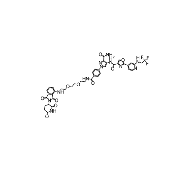 NC(=O)c1nn(-c2ccc(C(=O)NCCOCCOCCNc3cccc4c3C(=O)N(C3CCC(=O)NC3=O)C4=O)cc2)cc1NC(=O)c1coc(-c2ccnc(NCC(F)(F)F)c2)n1